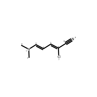 CN(C)C=CC=C(Cl)C#N